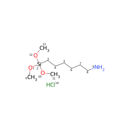 CO[Si](CCCCCCN)(OC)OC.Cl